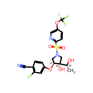 C[C@@H](O)[C@]1(O)CN(S(=O)(=O)c2ccc(OC(F)(F)F)cn2)C[C@@H]1Oc1ccc(C#N)c(F)c1